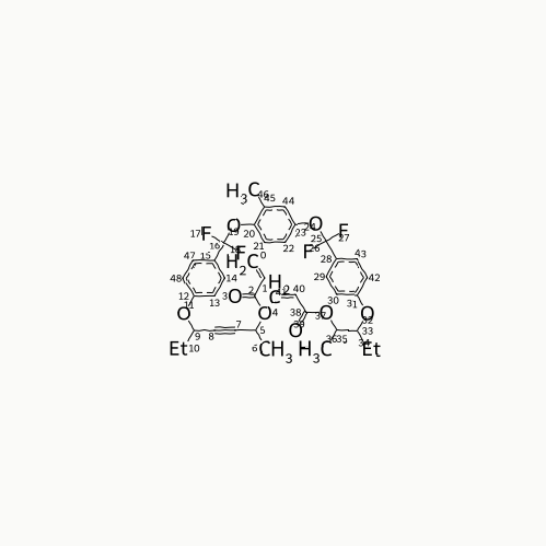 C=CC(=O)OC(C)C#CC(CC)Oc1ccc(C(F)(F)Oc2ccc(OC(F)(F)c3ccc(OC(CC)C(C)OC(=O)C=C)cc3)cc2C)cc1